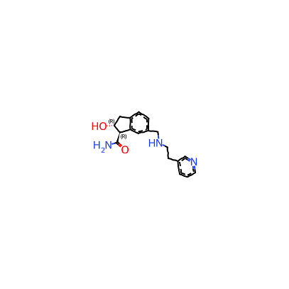 NC(=O)[C@@H]1c2cc(CNCCc3cccnc3)ccc2C[C@H]1O